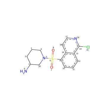 NC1CCCN(S(=O)(=O)c2cccc3c(Cl)nccc23)C1